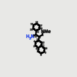 CNCC(c1ccc2ccccc2c1)C(N)c1ccccc1